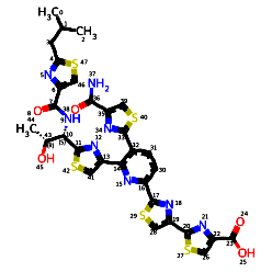 CC(C)Cc1nc(C(=O)N[C@H](c2nc(-c3nc(-c4nc(-c5nc(C(=O)O)cs5)cs4)ccc3-c3nc(C(N)=O)cs3)cs2)[C@@H](C)O)cs1